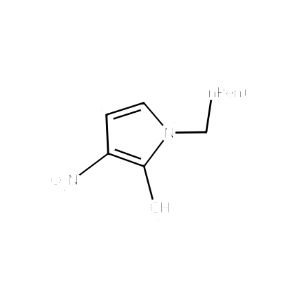 CCCCCCn1ccc([N+](=O)[O-])c1C